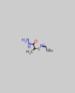 C=C(S/N=C\CCCC)C(=O)NN